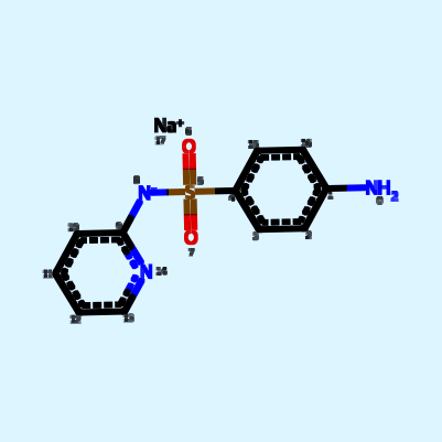 Nc1ccc(S(=O)(=O)[N-]c2ccccn2)cc1.[Na+]